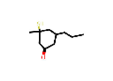 CCCC1CC(=O)CC(C)(S)C1